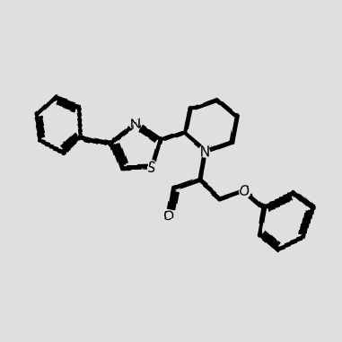 O=CC(COc1ccccc1)N1CCCCC1c1nc(-c2ccccc2)cs1